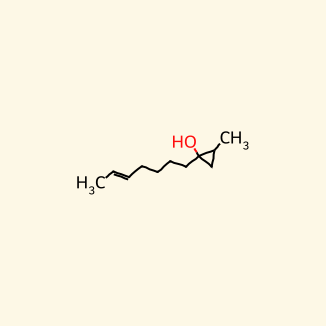 CC=CCCCCC1(O)CC1C